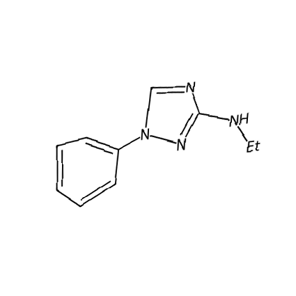 CCNc1ncn(-c2ccccc2)n1